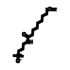 CCCCCCCCCCCCCCCCCC(=O)NCCC[N+](C)(C)[O-]